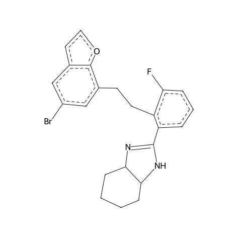 Fc1cccc(C2=NC3CCCCC3N2)c1CCc1cc(Br)cc2ccoc12